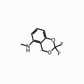 CNc1cccc2c1[CH]OC(F)(F)O2